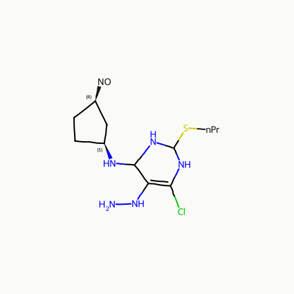 CCCSC1NC(Cl)=C(NN)C(N[C@H]2CC[C@@H](N=O)C2)N1